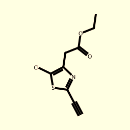 C#Cc1nc(CC(=O)OCC)c(Cl)s1